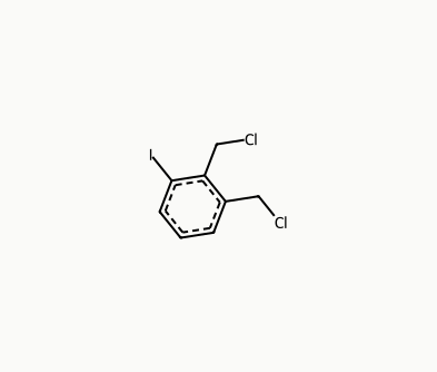 ClCc1cccc(I)c1CCl